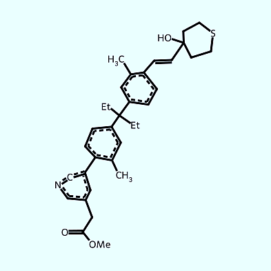 CCC(CC)(c1ccc(C=CC2(O)CCSCC2)c(C)c1)c1ccc(-c2cncc(CC(=O)OC)c2)c(C)c1